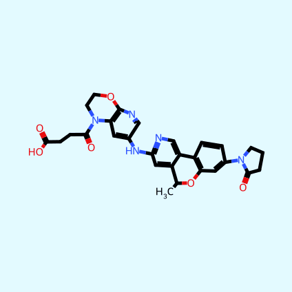 CC1Oc2cc(N3CCCC3=O)ccc2-c2cnc(Nc3cnc4c(c3)N(C(=O)CCC(=O)O)CCO4)cc21